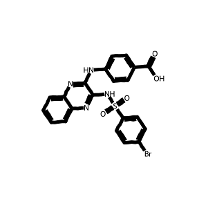 O=C(O)c1ccc(Nc2nc3ccccc3nc2NS(=O)(=O)c2ccc(Br)cc2)cc1